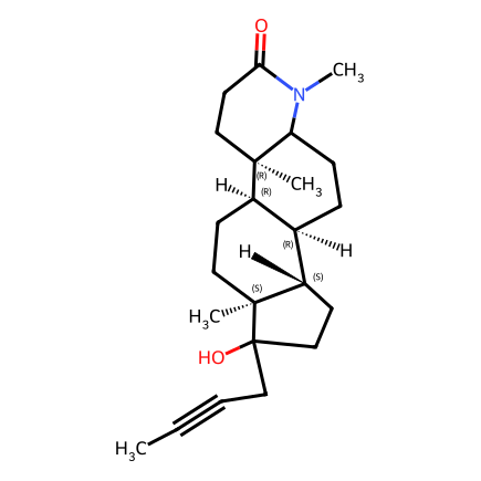 CC#CCC1(O)CC[C@H]2[C@@H]3CCC4N(C)C(=O)CC[C@]4(C)[C@@H]3CC[C@@]21C